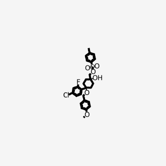 COc1ccc(CO[C@]2(c3ccc(Cl)cc3F)CC[C@@](O)(COS(=O)(=O)c3ccc(C)cc3)CC2)cc1